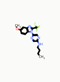 CCCCNc1cnc(-n2c(C(F)(F)F)nc3cc(OC)ccc32)cn1